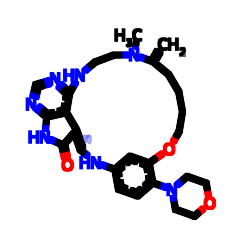 C=C1CCCCOc2cc(ccc2N2CCOCC2)N/C=C2\C(=O)Nc3ncnc(c32)NCCN1C